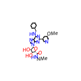 CNNC(=O)[C@H]1O[C@@H](n2cnc3c(NCc4ccccc4)nc(-c4cncc(OC)c4)nc32)[C@H](O)[C@@H]1O